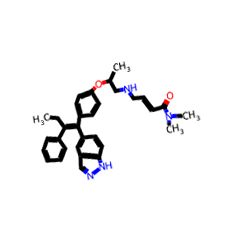 CCC(=C(c1ccc(OC(C)CNCC=CC(=O)N(C)C)cc1)c1ccc2[nH]ncc2c1)c1ccccc1